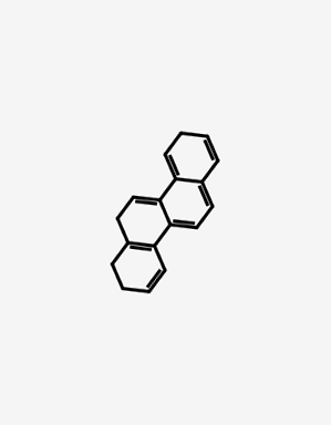 C1=Cc2ccc3c(c2=CC1)=CCC1=C3C=CCC1